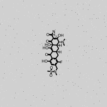 CN(C)[C@@H]1C(O)=C(C(N)=O)C(=O)[C@@]2(O)C(O)=C3C(=O)c4c(O)cc(CN(C)S(C)(=O)=O)c(F)c4C[C@H]3C[C@@H]12